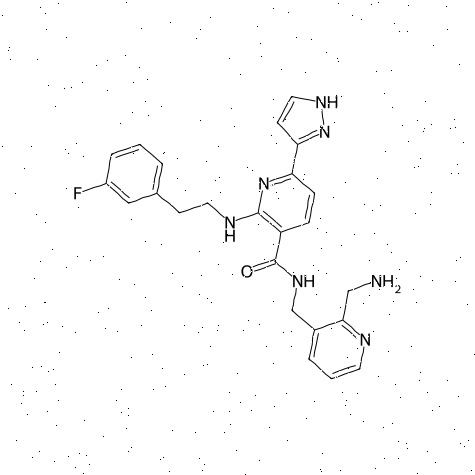 NCc1ncccc1CNC(=O)c1ccc(-c2cc[nH]n2)nc1NCCc1cccc(F)c1